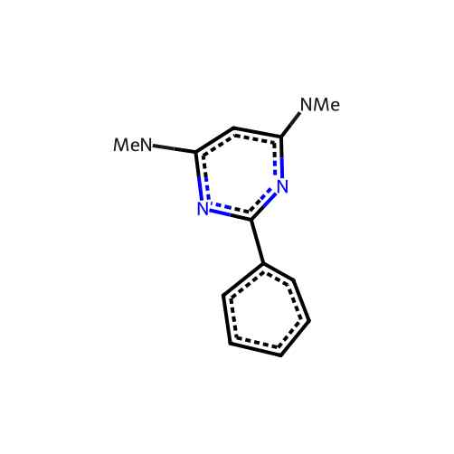 CNc1cc(NC)nc(-c2ccccc2)n1